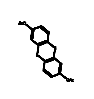 CC(=O)Oc1ccc2c(c1)Sc1ccc(OC(C)=O)cc1S2